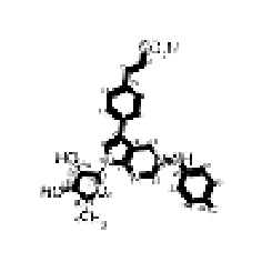 C[C@H]1O[C@@H](n2cc(-c3ccc(C=CC(=O)O)cc3)c3c2N=CN(Nc2ccc(F)cc2)C3)[C@H](O)[C@@H]1O